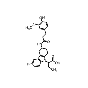 CCC(C(=O)O)n1c2c(c3cc(F)ccc31)CC(NC(=O)CCc1ccc(O)c(OC)c1)CC2